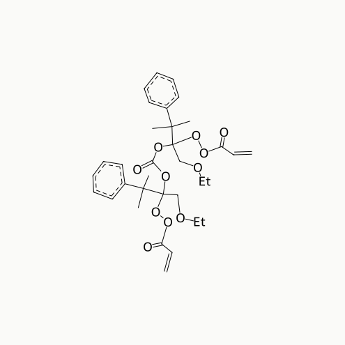 C=CC(=O)OOC(COCC)(OC(=O)OC(COCC)(OOC(=O)C=C)C(C)(C)c1ccccc1)C(C)(C)c1ccccc1